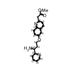 COC(=O)Cc1ccc2cc(OCCC(N)c3ccccn3)ccc2n1